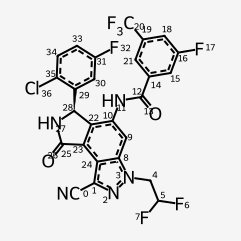 N#Cc1nn(CC(F)F)c2cc(NC(=O)c3cc(F)cc(C(F)(F)F)c3)c3c(c12)C(=O)N[C@H]3c1cc(F)ccc1Cl